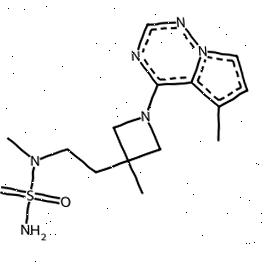 Cc1ccn2ncnc(N3CC(C)(CCN(C)S(N)(=O)=O)C3)c12